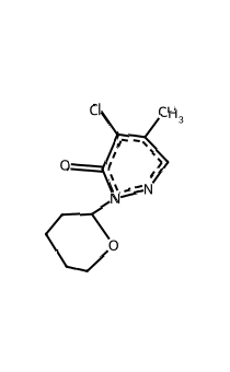 Cc1cnn(C2CCCCO2)c(=O)c1Cl